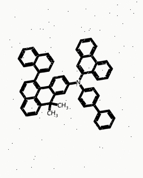 CC1(C)c2cc(N(c3ccc(-c4ccccc4)cc3)c3cc4ccccc4c4ccccc34)ccc2-c2c(-c3cccc4ccccc34)ccc3cccc1c23